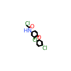 O=C(CCl)Nc1ccc(Oc2cccc(Cl)c2)c(Cl)c1